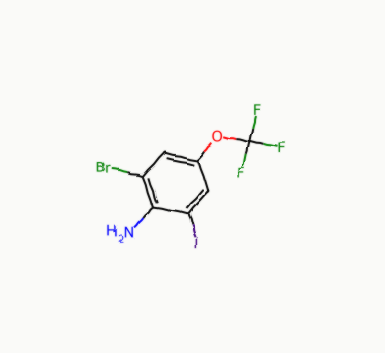 Nc1c(Br)cc(OC(F)(F)F)cc1I